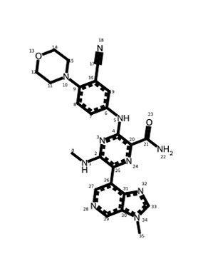 CNc1nc(Nc2ccc(N3CCOCC3)c(C#N)c2)c(C(N)=O)nc1-c1cncc2c1ncn2C